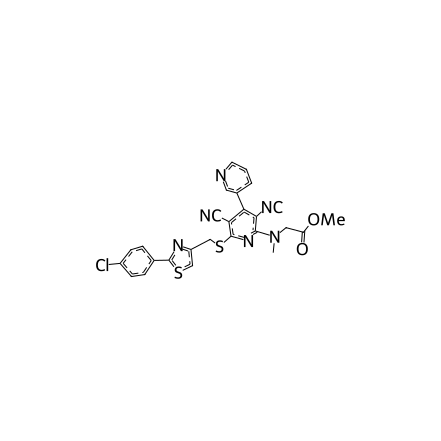 [C-]#[N+]c1c(N(C)CC(=O)OC)nc(SCc2csc(-c3ccc(Cl)cc3)n2)c(C#N)c1-c1cccnc1